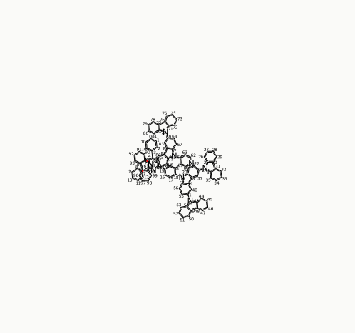 c1ccc(-c2nc(-c3ccccc3)nc(-c3ccc(-n4c5ccc(-n6c7ccccc7c7ccccc76)cc5c5cc(-n6c7ccccc7c7ccccc76)ccc54)c(-c4cnccc4-n4c5ccc(-n6c7ccccc7c7ccccc76)cc5c5cc(-n6c7ccccc7c7ccccc76)ccc54)c3)n2)cc1